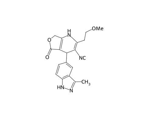 [C-]#[N+]C1=C(CCOC)NC2=C(C(=O)OC2)C1c1ccc2[nH]nc(C)c2c1